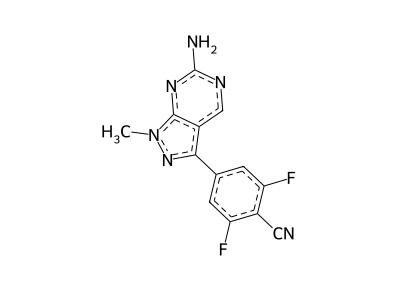 Cn1nc(-c2cc(F)c(C#N)c(F)c2)c2cnc(N)nc21